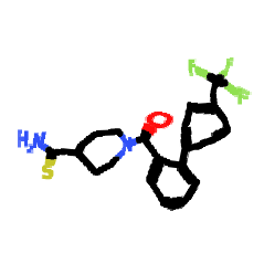 NC(=S)C1CCN(C(=O)c2ccccc2-c2ccc(C(F)(F)F)cc2)CC1